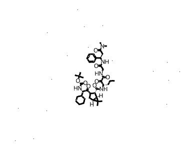 CCC[C@H](NC(=O)[C@H]1C(C(=O)[C@@H](NC(=O)OC(C)(C)C)C2CCCCC2)C[C@H]2[C@@H]1C2(C)C)C(=O)C(=O)NCC(=O)N[C@H](CC(=O)N(C)C)c1ccccc1